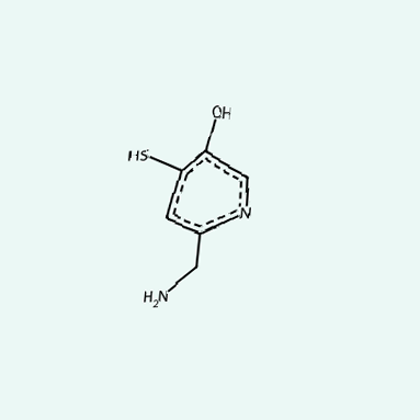 NCc1cc(S)c(O)cn1